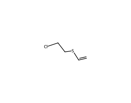 C=CSCCCl